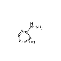 Cl.NNc1ccccn1